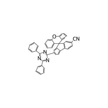 N#Cc1ccc2c(c1)C1(c3ccccc3Oc3ccccc31)c1cc(-c3nc(-c4ccccc4)nc(-c4ccccc4)n3)ccc1-2